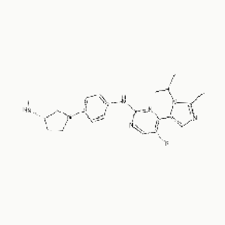 CN[C@H]1CCN(c2ccc(Nc3ncc(F)c(-c4cnc(C)n4C(C)C)n3)cc2)C1